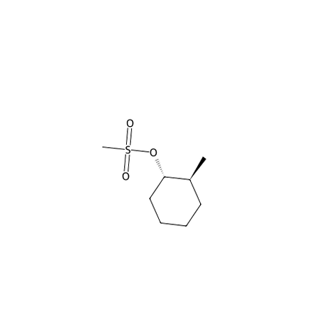 C[C@H]1CCCC[C@@H]1OS(C)(=O)=O